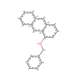 c1ccc(COc2cccc3cc4ccccc4cc23)cc1